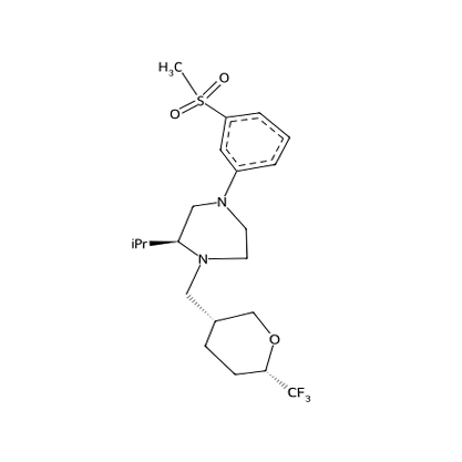 CC(C)[C@H]1CN(c2cccc(S(C)(=O)=O)c2)CCN1C[C@H]1CC[C@@H](C(F)(F)F)OC1